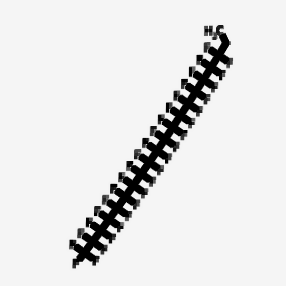 C[CH]C(F)(F)C(F)(F)C(F)(F)C(F)(F)C(F)(F)C(F)(F)C(F)(F)C(F)(F)C(F)(F)C(F)(F)C(F)(F)C(F)(F)C(F)(F)C(F)(F)C(F)(F)C(F)(F)C(F)(F)C(F)(F)F